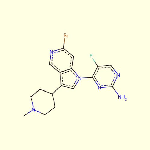 CN1CCC(c2cn(-c3nc(N)ncc3F)c3cc(Br)ncc23)CC1